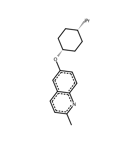 Cc1ccc2cc(O[C@H]3CC[C@@H](C(C)C)CC3)ccc2n1